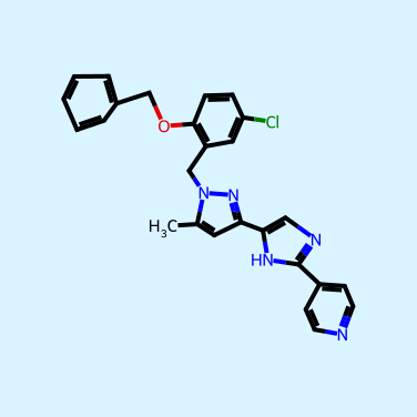 Cc1cc(-c2cnc(-c3ccncc3)[nH]2)nn1Cc1cc(Cl)ccc1OCc1ccccc1